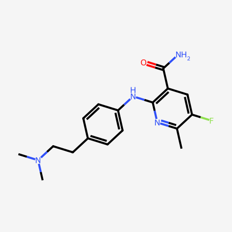 Cc1nc(Nc2ccc(CCN(C)C)cc2)c(C(N)=O)cc1F